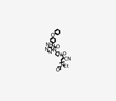 CCN(C1COC1)C(C)(C)C=C(C#N)C(=O)N1CCC(n2c(=O)n(-c3ccc(Oc4ccccc4)cc3)c3c(N)ncnc32)C1